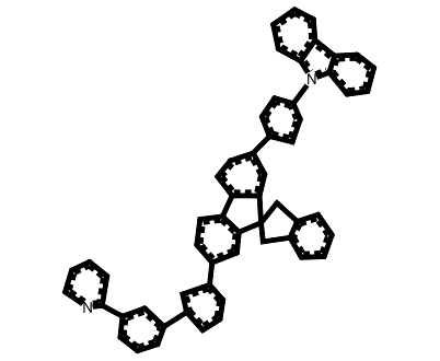 c1ccc(-c2cccc(-c3cccc(-c4ccc5c(c4)C4(Cc6ccccc6C4)c4cc(-c6ccc(-n7c8ccccc8c8ccccc87)cc6)ccc4-5)c3)c2)nc1